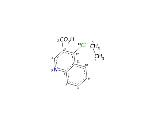 CC.O=C(O)c1cnc2ccccc2c1Cl